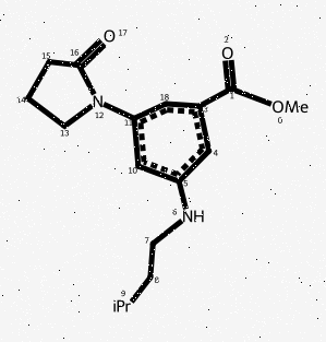 COC(=O)c1cc(NCCC(C)C)cc(N2CCCC2=O)c1